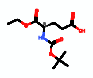 CCOC(=O)[C@H](CCC(=O)O)NC(=O)OC(C)(C)C